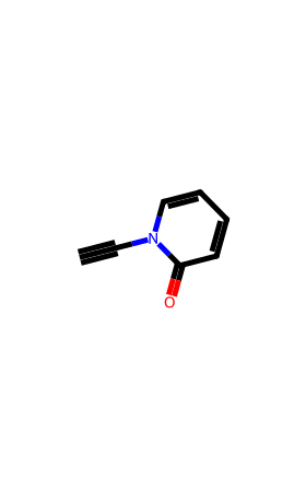 C#Cn1ccccc1=O